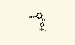 CCCc1ccnc(O[C@H]2C[C@H](N)C2)c1